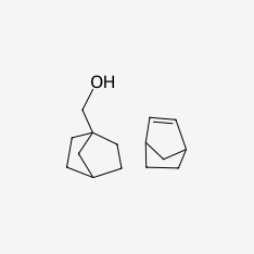 C1=CC2CCC1C2.OCC12CCC(CC1)C2